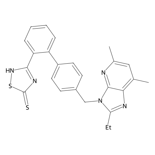 CCc1nc2c(C)cc(C)nc2n1Cc1ccc(-c2ccccc2-c2nc(=S)s[nH]2)cc1